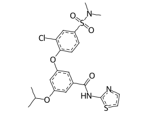 CC(C)Oc1cc(Oc2ccc(S(=O)(=O)N(C)C)cc2Cl)cc(C(=O)Nc2nccs2)c1